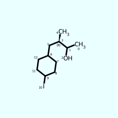 CC(O)[C@H](C)CC1CCC(I)CC1